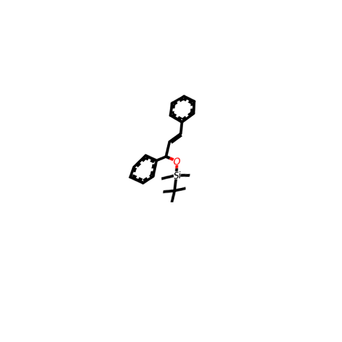 CC(C)(C)[Si](C)(C)OC(C=Cc1ccccc1)c1ccccc1